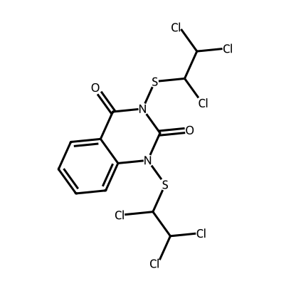 O=c1c2ccccc2n(SC(Cl)C(Cl)Cl)c(=O)n1SC(Cl)C(Cl)Cl